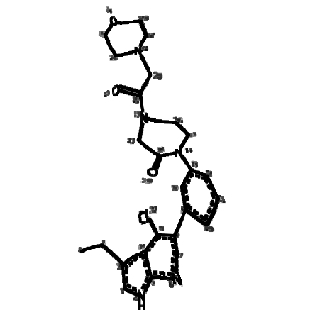 CCc1c[nH]c2ncc(-c3cccc(N4CCN(C(=O)CN5CCOCC5)CC4=O)c3)c(Cl)c12